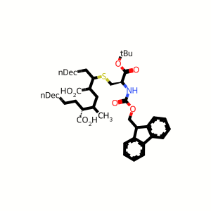 CCCCCCCCCCCC[C@@H](C(=O)O)C(C)CC(C(=O)O)C(CCCCCCCCCCC)SC[C@H](NC(=O)OCC1c2ccccc2-c2ccccc21)C(=O)OC(C)(C)C